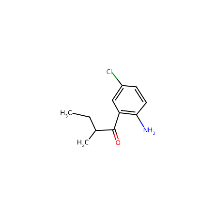 CCC(C)C(=O)c1cc(Cl)ccc1N